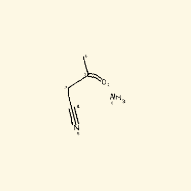 CC(=O)CC#N.[AlH3]